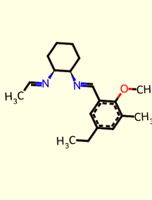 CC=N[C@H]1CCCC[C@H]1N=Cc1cc(CC)cc(C)c1OC